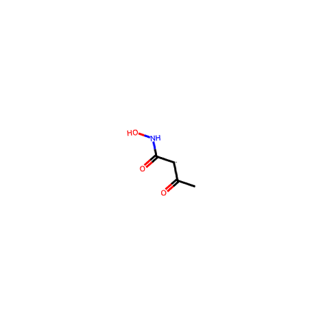 CC(=O)[CH]C(=O)NO